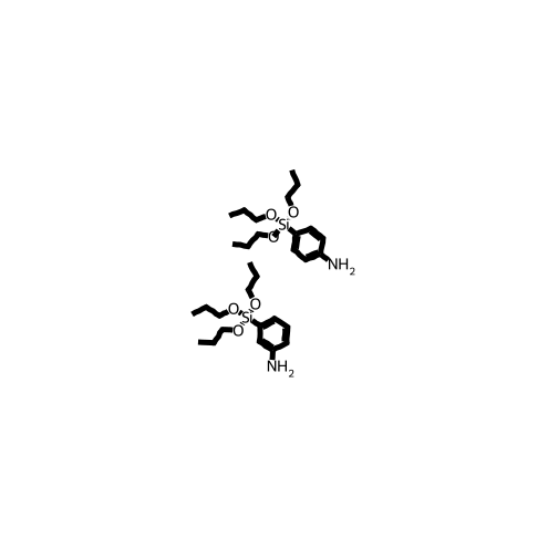 CCCO[Si](OCCC)(OCCC)c1ccc(N)cc1.CCCO[Si](OCCC)(OCCC)c1cccc(N)c1